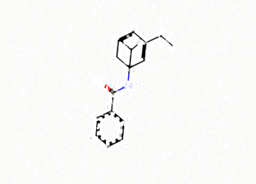 CCC1=CC2(NC(=O)c3ccccc3)CC(=C1)C2C